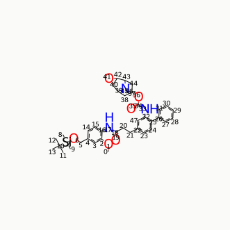 COc1cc(CO[Si](C)(C)C(C)(C)C)ccc1NC(=O)CCc1ccc(-c2ccccc2)c(NC(=O)OC2CC3C4OC4C(C2)N3C)c1